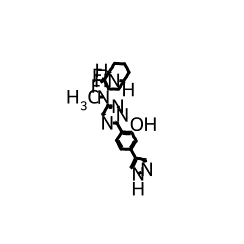 CN(c1cnc(-c2ccc(-c3cn[nH]c3)cc2O)nn1)[C@H]1C[C@@H]2CCC[C@@H](N2)C1(F)F